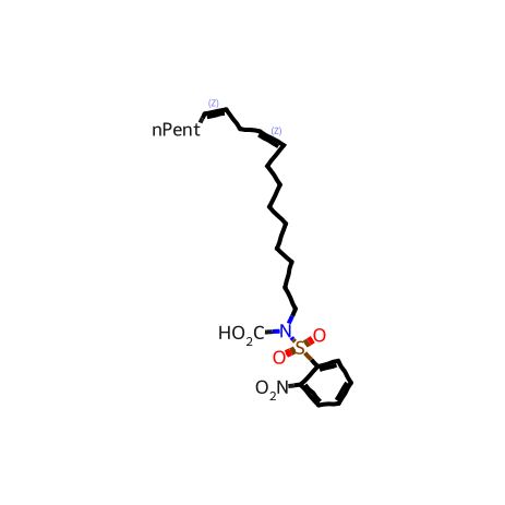 CCCCC/C=C\C/C=C\CCCCCCCCN(C(=O)O)S(=O)(=O)c1ccccc1[N+](=O)[O-]